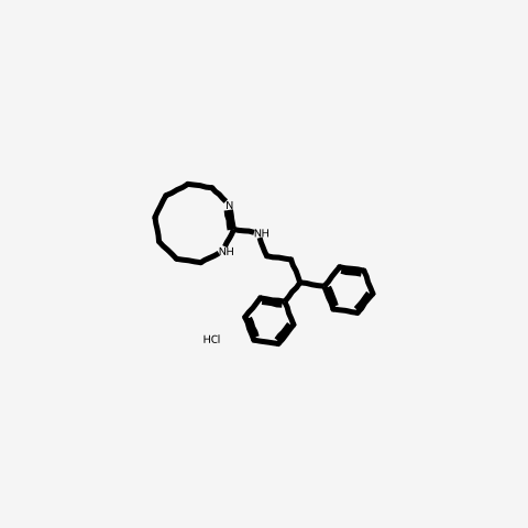 Cl.c1ccc(C(CCN/C2=N/CCCCCCCN2)c2ccccc2)cc1